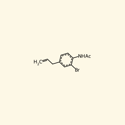 C=CCc1ccc(NC(C)=O)c(Br)c1